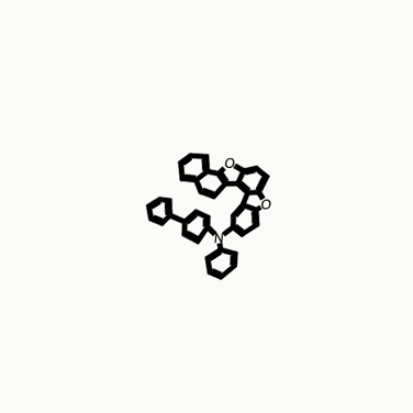 c1ccc(-c2ccc(N(c3ccccc3)c3ccc4oc5ccc6oc7c8ccccc8ccc7c6c5c4c3)cc2)cc1